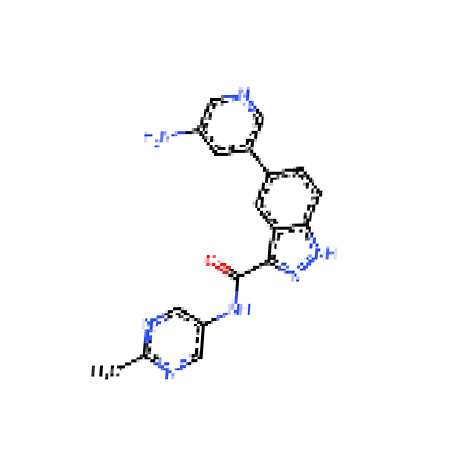 Cc1ncc(NC(=O)c2n[nH]c3ccc(-c4cncc(N)c4)cc23)cn1